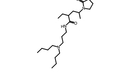 CCCCN(CCCC)CCCNC(=O)C(CC)CC(C)N1CCCC1=O